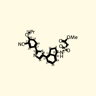 COC(=O)CS(=O)(=O)N[C@H]1CCc2c(-c3cnc(C4=CCC(OC(C)C)C(C#N)=C4)s3)cccc21